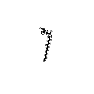 CCCCCCCCCCCCCCOC(C)COC(=O)CC